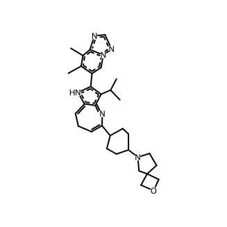 Cc1c(-c2[nH]c3c(c2C(C)C)=NC(C2CCC(N4CCC5(COC5)C4)CC2)=CCC=3)cn2ncnc2c1C